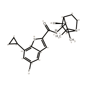 CC1(C)[C@H](NC(=O)c2cc3cc(F)cc(C4CC4)c3s2)C2CCN1CC2